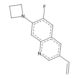 C=Cc1cnc2cc(N3CCC3)c(F)cc2c1